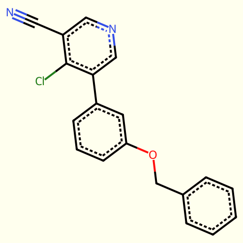 N#Cc1cncc(-c2cccc(OCc3ccccc3)c2)c1Cl